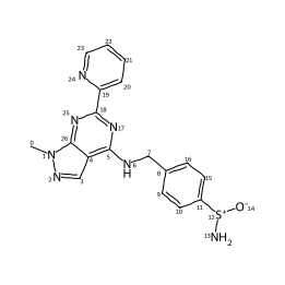 Cn1ncc2c(NCc3ccc([S+](N)[O-])cc3)nc(-c3ccccn3)nc21